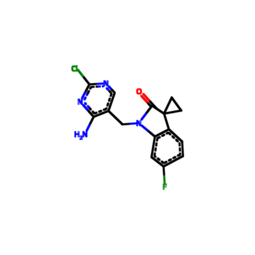 Nc1nc(Cl)ncc1CN1C(=O)C2(CC2)c2ccc(F)cc21